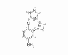 Nc1ccc(Cl)c([C@@H]2CC[C@H]2n2cnnc2)c1